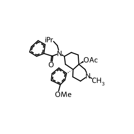 COc1cccc([C@@]23CCN(C)C[C@@]2(OC(C)=O)CC[C@H](N(CC(C)C)C(=O)c2ccccc2)C3)c1